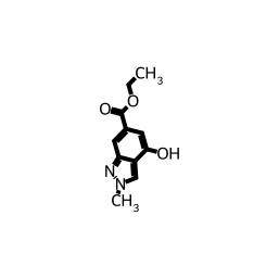 CCOC(=O)c1cc(O)c2cn(C)nc2c1